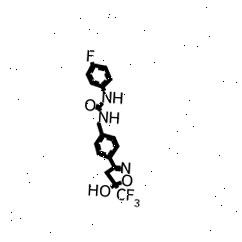 O=C(NCc1ccc(C2=NOC(O)(C(F)(F)F)C2)cc1)Nc1ccc(F)cc1